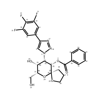 O=C(O[C@H]1[C@@H](n2cc(-c3cc(F)c(F)c(F)c3)nn2)[C@@H](O)[C@@H](CO)O[C@@]12CCCO2)c1ccccc1